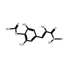 CCCC(=O)Oc1c(O)cc(/C=C(\C#N)C(=O)N(CC)CC)cc1[N+](=O)[O-]